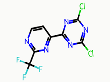 FC(F)(F)c1nccc(-c2nc(Cl)nc(Cl)n2)n1